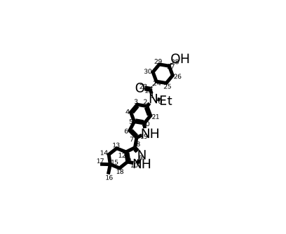 CCN(c1ccc2cc(-c3n[nH]c4c3CCC(C)(C)C4)[nH]c2c1)C(=O)[C@H]1CC[C@@H](O)CC1